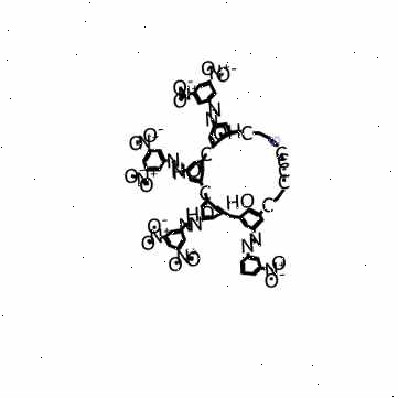 O=[N+]([O-])c1cccc(N=Nc2cc3c(O)c(c2)Cc2cc(N=Nc4cc([N+](=O)[O-])cc([N+](=O)[O-])c4)cc(c2O)Cc2cc(N=Nc4cc([N+](=O)[O-])cc([N+](=O)[O-])c4)cc(c2O)Cc2cc(N=Nc4cc([N+](=O)[O-])cc([N+](=O)[O-])c4)cc(c2O)CCC/C=C\CCCCCCC3)c1